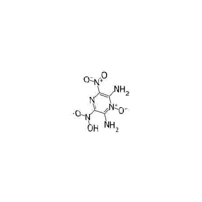 Nc1c(N([O])O)nc([N+](=O)[O-])c(N)[n+]1[O-]